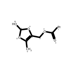 CC1=C(COC(=O)C(C)C)OC(O)O1